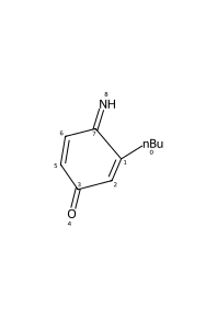 CCCCC1=CC(=O)C=CC1=N